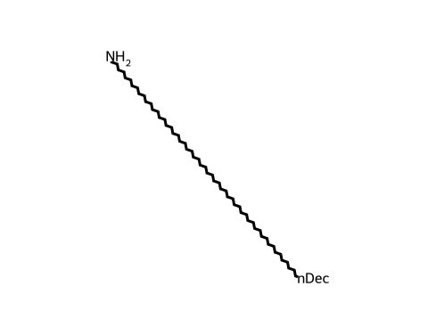 CCCCCCCCCCCCCCCCCCCCCCCCCCCCCCCCCCCCCCCCCCCCCCCCCCCCCCCCCCCCCCCCCN